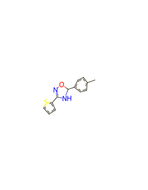 Cc1ccc(C2NC(c3cccs3)=NO2)cc1